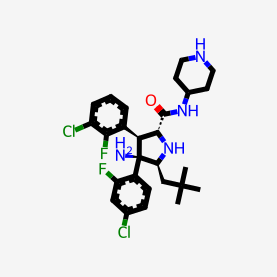 CC(C)(C)C[C@@H]1N[C@@H](C(=O)NC2CCNCC2)[C@H](c2cccc(Cl)c2F)[C@@]1(N)c1ccc(Cl)cc1F